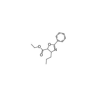 CCCC1N=C(c2ccccc2)OC1C(=O)OCC